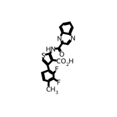 Cc1ccc(-c2csc(NC(=O)c3cnc4ccccc4n3)c2C(=O)O)c(F)c1F